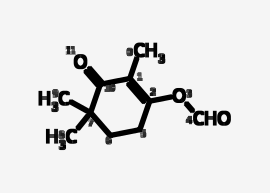 CC1=C(OC=O)CCC(C)(C)C1=O